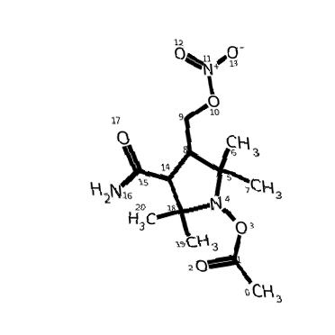 CC(=O)ON1C(C)(C)C(CO[N+](=O)[O-])C(C(N)=O)C1(C)C